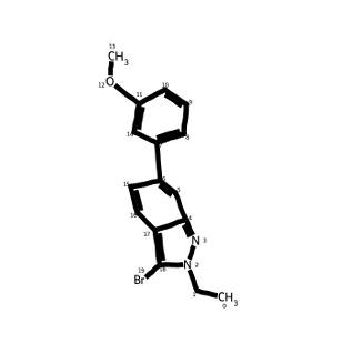 CCn1nc2cc(-c3cccc(OC)c3)ccc2c1Br